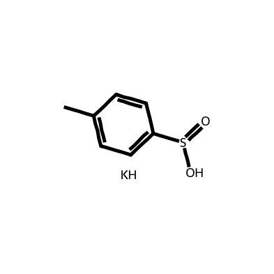 Cc1ccc(S(=O)O)cc1.[KH]